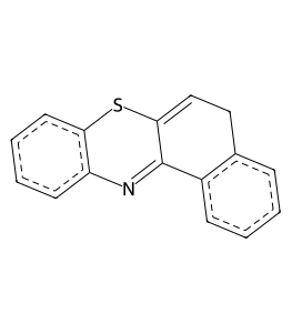 C1=C2Sc3ccccc3N=C2c2ccccc2C1